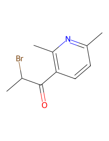 Cc1ccc(C(=O)C(C)Br)c(C)n1